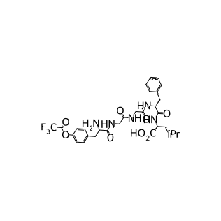 CC(C)C[C@H](NC(=O)[C@H](Cc1ccccc1)NC(=O)CNC(=O)CNC(=O)[C@@H](N)Cc1ccc(OC(=O)C(F)(F)F)cc1)C(=O)O